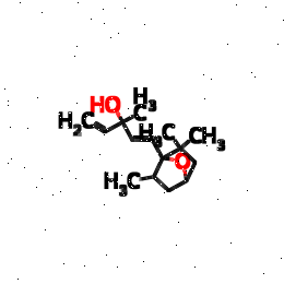 C=CC(C)(O)C=CC12OC(CC1C)CC2(C)C